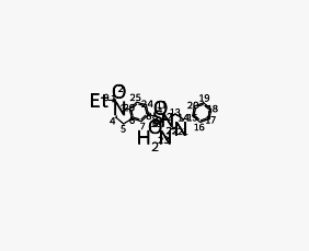 CCC(=O)N1CCc2cc(S(=O)(=O)N3C[C@H](c4ccccc4)N=C3N)ccc21